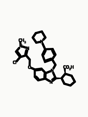 Cn1cc(Cl)c(COc2ccc3nc([C@@H]4CCCC[C@@H]4C(=O)O)n(Cc4ccc(N5CCCCC5)cc4)c3c2)n1